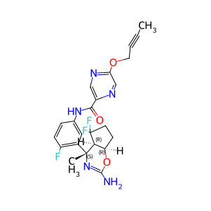 CC#CCOc1cnc(C(=O)Nc2ccc(F)c([C@@]3(C)N=C(N)O[C@@H]4CCC(F)(F)[C@@H]43)c2)cn1